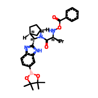 CC(C)[C@H](NOC(=O)c1ccccc1)C(=O)N1[C@@H]2CC[C@@H](C2)[C@H]1c1nc2ccc(B3OC(C)(C)C(C)(C)O3)cc2[nH]1